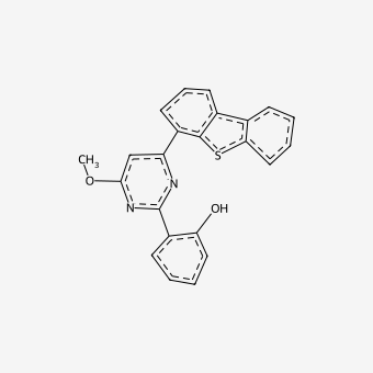 COc1cc(-c2cccc3c2sc2ccccc23)nc(-c2ccccc2O)n1